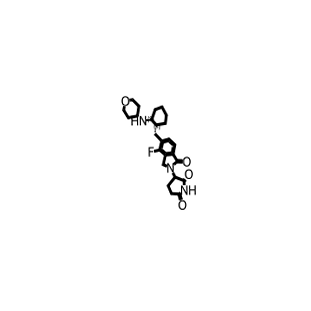 O=C1CCC(N2Cc3c(ccc(C[C@H]4CCCC[C@@H]4NC4CCOCC4)c3F)C2=O)C(=O)N1